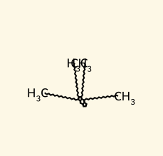 CCCCCCCCCCCCCCCCC1=C(CCCCCCCCCCCCCCCC)c2cc3c(c(CCCCCCCCCCCCCCCC)c2=C1CCCCCCCCCCCCCCCC)C=CC=3